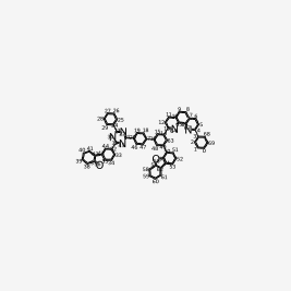 c1ccc(-c2ccc3ccc4ccc(-c5cc(-c6ccc(-c7nc(-c8ccccc8)nc(-c8ccc9oc%10ccccc%10c9c8)n7)cc6)cc(-c6cccc7c6oc6ccccc67)c5)nc4c3n2)cc1